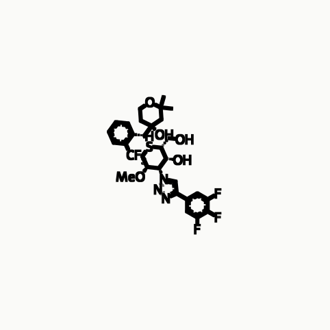 CO[C@H]1C[SH]([C@H](c2ccccc2C(F)(F)F)[C@]2(O)CCOC(C)(C)C2)[C@H](CO)[C@H](O)[C@@H]1n1cc(-c2cc(F)c(F)c(F)c2)nn1